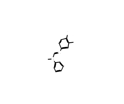 CCc1cc(/N=C/N(C)c2ccccc2)ccc1C(=O)O